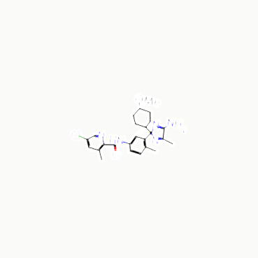 CO[C@H]1CC[C@](C)(C2(c3cc(NC(=O)c4ncc(Cl)cc4C)ccc3C)N=C(C)C(N)=N2)CC1